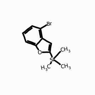 C[Si](C)(C)c1cc2c(Br)cccc2o1